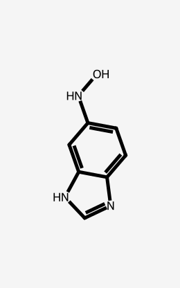 ONc1ccc2nc[nH]c2c1